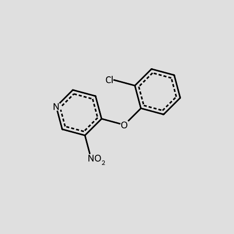 O=[N+]([O-])c1cnccc1Oc1ccccc1Cl